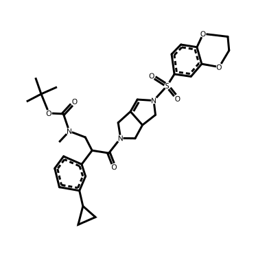 CN(CC(C(=O)N1CC2=CN(S(=O)(=O)c3ccc4c(c3)OCCO4)CC2C1)c1cccc(C2CC2)c1)C(=O)OC(C)(C)C